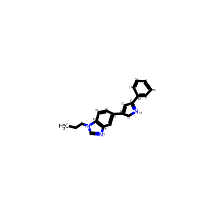 CCCn1cnc2cc(C3=CC(c4ccccc4)=NC3)ccc21